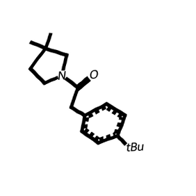 CC1(C)CCN(C(=O)Cc2ccc(C(C)(C)C)cc2)C1